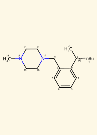 CCCC[C@@H](C)c1ccccc1CN1CCN(C)CC1